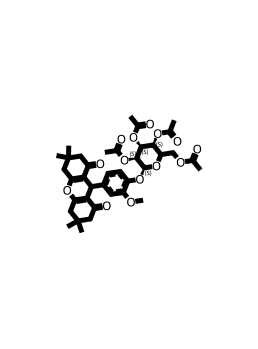 COc1cc(C2C3=C(CC(C)(C)CC3=O)OC3=C2C(=O)CC(C)(C)C3)ccc1O[C@@H]1OC(COC(C)=O)[C@H](OC(C)=O)[C@H](OC(C)=O)[C@@H]1OC(C)=O